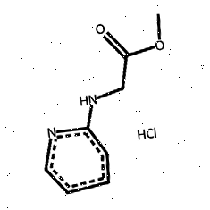 COC(=O)CNc1ccccn1.Cl